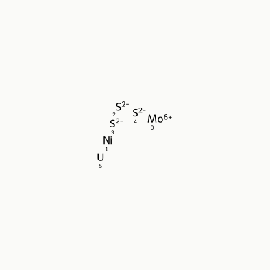 [Mo+6].[Ni].[S-2].[S-2].[S-2].[U]